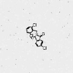 O=C1c2ccc(Cl)cc2C(=O)N1Cc1c(Cl)cccc1Cl